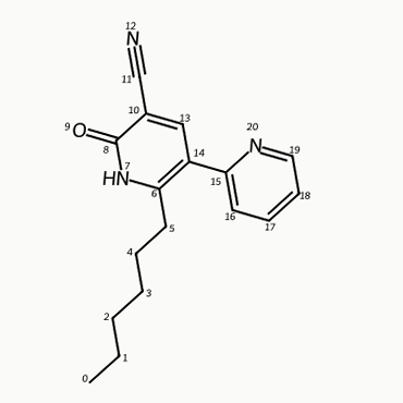 CCCCCCc1[nH]c(=O)c(C#N)cc1-c1ccccn1